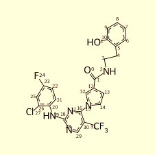 O=C(NCCc1ccccc1O)c1ccn(-c2nc(Nc3ccc(F)cc3Cl)ncc2C(F)(F)F)c1